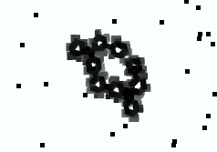 C1=CCC(c2cccc(N(c3ccccc3)c3ccc(-c4cccc(-c5ccc(N(c6ccccc6)c6cccc(-c7ccccc7)c6)cc5)c4)cc3)c2)C=C1